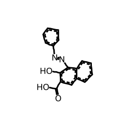 O=C(O)c1cc2ccccc2c(N=Nc2ccccc2)c1O